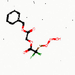 O=C(COC(=O)C(F)(F)SOOO)OCC1CCCCC1